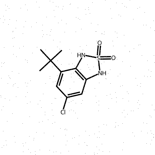 CC(C)(C)c1cc(Cl)cc2c1NS(=O)(=O)N2